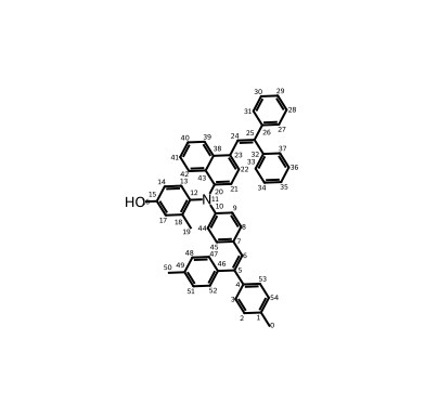 Cc1ccc(C(=Cc2ccc(N(c3ccc(O)cc3C)c3ccc(C=C(c4ccccc4)c4ccccc4)c4ccccc34)cc2)c2ccc(C)cc2)cc1